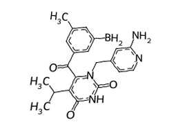 Bc1cc(C)cc(C(=O)c2c(C(C)C)c(=O)[nH]c(=O)n2Cc2ccnc(N)c2)c1